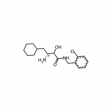 N[C@H](CC1CCCCC1)C(O)C(=O)NCc1ccccc1Cl